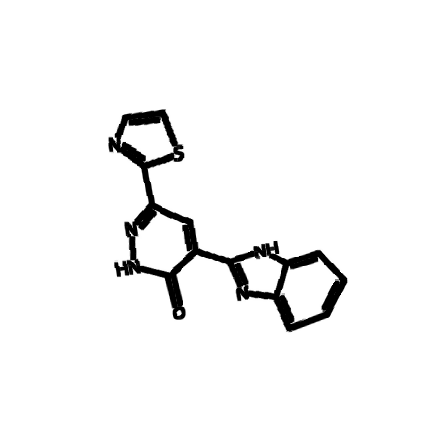 O=c1[nH]nc(-c2nccs2)cc1-c1nc2ccccc2[nH]1